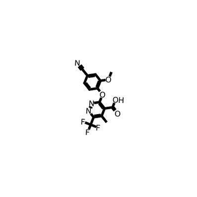 COc1cc(C#N)ccc1Oc1nnc(C(F)(F)F)c(C)c1C(=O)O